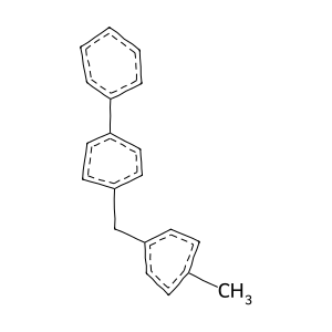 Cc1ccc(Cc2ccc(-c3ccccc3)cc2)cc1